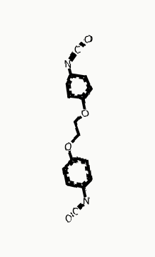 O=C=Nc1ccc(OCCOc2ccc(N=C=O)cc2)cc1